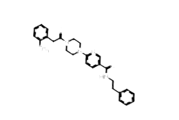 Cc1ccccc1CC(=O)N1CCN(c2ccc(C(=O)NCCc3ccccc3)cn2)CC1